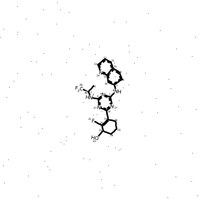 C[C@@H](Nc1nc(Nc2ccc3cccnc3c2)nc(C2=C(F)C(O)CCC2)n1)C(F)(F)F